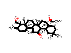 C=C1CC[C@]2(C)C3=CC(=O)[C@@H]4[C@@H]5CC(C)(C)CC[C@]5(C(=O)OC)CC[C@@]4(C)[C@]3(C)CC[C@H]2[C@]1(C)CO